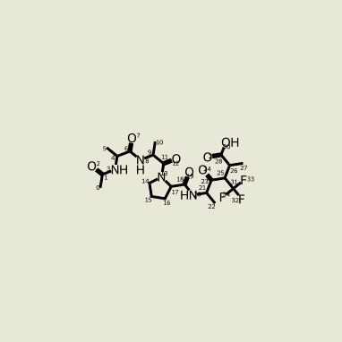 CC(=O)NC(C)C(=O)NC(C)C(=O)N1CCCC1C(=O)NC(C)C(=O)C(C(C)C(=O)O)C(F)(F)F